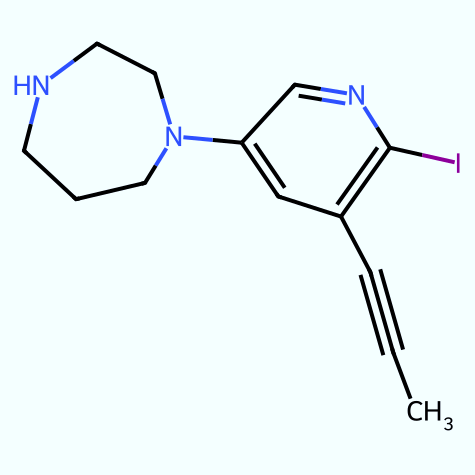 CC#Cc1cc(N2CCCNCC2)cnc1I